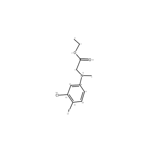 CCOC(=O)CN(C)c1ccc(F)c(Cl)c1